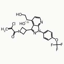 C=C(Cl)C(=O)N1CC(c2nn(-c3ccc(OC(F)(F)F)cc3)c3nccc([C@H](O)CO)c23)C1